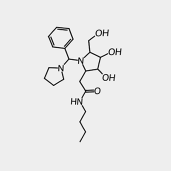 CCCCNC(=O)CC1C(O)C(O)C(CO)N1C(c1ccccc1)N1CCCC1